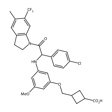 COc1cc(NC(C(=O)N2CCc3cc(C)c(C(F)(F)F)cc32)c2ccc(Cl)cc2)cc(OCC2CC(C(=O)O)C2)c1